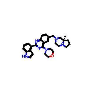 c1cc(-c2nc(N3CCOCC3)c3cc(CN4CCN5CCC[C@H]5C4)ccc3n2)c2cc[nH]c2c1